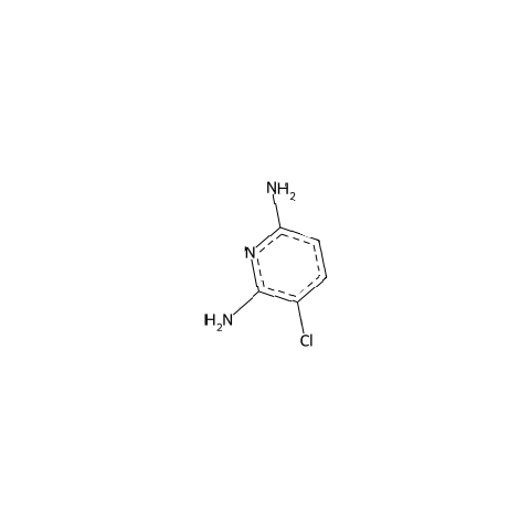 Nc1ccc(Cl)c(N)n1